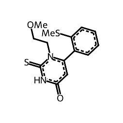 COCCn1c(-c2ccccc2SC)cc(=O)[nH]c1=S